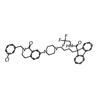 O=C1c2cc(N3CCN(CCCCC4(C(=O)NCC(F)(F)F)c5ccccc5-c5ccccc54)CC3)ccc2CCN1Cc1cccc(Cl)c1